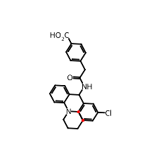 O=C(Cc1ccc(C(=O)O)cc1)NC(c1cccc(Cl)c1)c1ccccc1N1CCCCC1